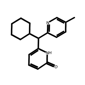 Cc1ccc(C(c2cccc(=O)[nH]2)C2CCCCC2)nc1